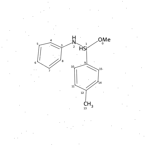 CO[SiH](Nc1ccccc1)c1ccc(C)cc1